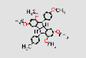 COc1ccc([C@@H]2c3c(OC)cc(OC)cc3[C@H]3[C@H](c4ccc(C)cc4)c4c(OC)cc(OC)cc4[C@@H]23)cc1